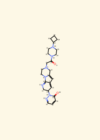 O=C(CN1CCn2c(cc3c2=NCC(n2ncccc2=O)C=3)C1)N1CCN(C2CCC2)CC1